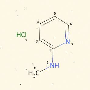 CNc1ccccn1.Cl